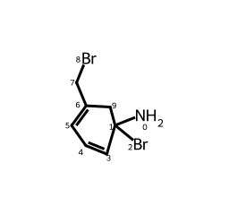 NC1(Br)C=CC=C(CBr)C1